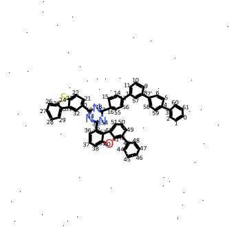 c1ccc(-c2ccc(-c3cccc(-c4ccc(-c5nc(-c6ccc7sc8ccccc8c7c6)nc(-c6cccc7oc8c(-c9ccccc9)cccc8c67)n5)cc4)c3)cc2)cc1